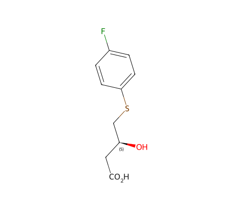 O=C(O)C[C@H](O)CSc1ccc(F)cc1